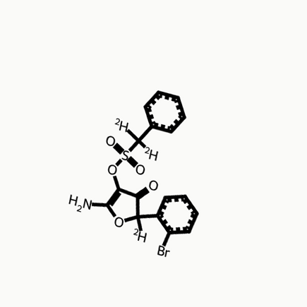 [2H]C1(c2ccccc2Br)OC(N)=C(OS(=O)(=O)C([2H])([2H])c2ccccc2)C1=O